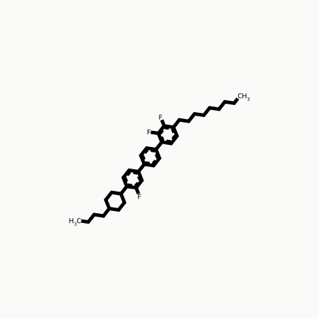 CCCCCCCCCc1ccc(-c2ccc(-c3ccc(C4CCC(CCCC)CC4)c(F)c3)cc2)c(F)c1F